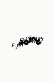 CC(C)c1ncccc1-c1ncc2sc(=O)n(Cc3ccc(-c4nc(C(F)(F)F)cn4C)cc3)c2n1